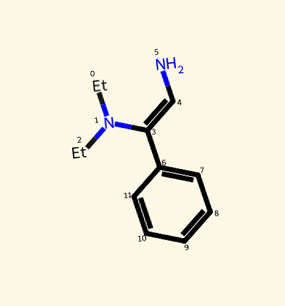 CCN(CC)C(=CN)c1ccccc1